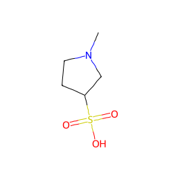 CN1CCC(S(=O)(=O)O)C1